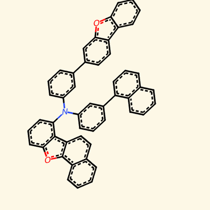 c1cc(-c2ccc3c(c2)oc2ccccc23)cc(N(c2cccc(-c3cccc4ccccc34)c2)c2cccc3oc4c5ccccc5ccc4c23)c1